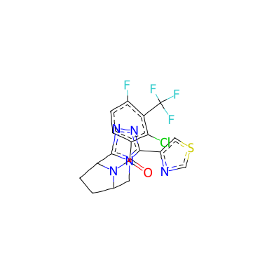 O=C(c1ccc(F)c(C(F)(F)F)c1Cl)N1C2CCC1c1nnc(-c3cscn3)n1C2